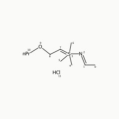 CC=NS(C)(C)(C)=CCOCCC.Cl